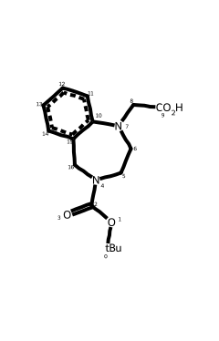 CC(C)(C)OC(=O)N1CCN(CC(=O)O)c2ccccc2C1